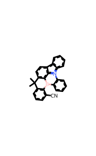 CC1(C)c2cccc(C#N)c2B2c3ccccc3-n3c4ccccc4c4ccc1c2c43